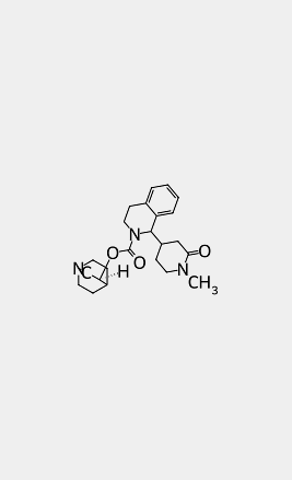 CN1CCC(C2c3ccccc3CCN2C(=O)O[C@@H]2CN3CCC2CC3)CC1=O